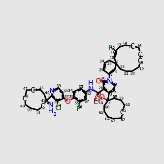 CCOC1(c2ccn(C3=CC4(/C=C(/F)CCCCCCCCCC4)CC=C3)c(=O)c2C(=O)Nc2ccc(Oc3ccnc(C4(N)CCCCCCCCC4)c3Cl)c(F)c2)CCCCCCCCC1